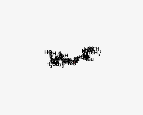 Cc1n[nH]c(Nc2ncnc3cc(OCCCN4CCN(C(=O)c5cnc(N6CCN(C[C@H]7CN[C@H](C)CN7CC(=O)N7CC(C)(C)c8ncc(CCCCO)cc87)[C@H](C)C6)nc5)CC4)c(S(=O)(=O)C(C)(C)C)cc23)c1C